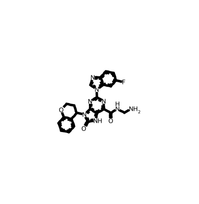 NCNC(=O)c1nc(-n2cnc3ccc(F)cc32)nc2c1[nH]c(=O)n2C1CCOc2ccccc21